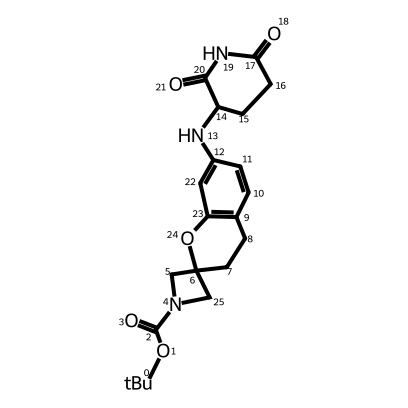 CC(C)(C)OC(=O)N1CC2(CCc3ccc(NC4CCC(=O)NC4=O)cc3O2)C1